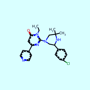 CCn1c(N2CC(c3ccc(Cl)cc3)NC(C)(C)C2)nc(-c2ccncc2)cc1=O